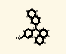 CC1=CCC(N(c2ccc3ccccc3c2)c2cccc3ccccc23)C=C1